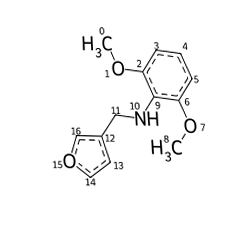 COc1cccc(OC)c1NCc1ccoc1